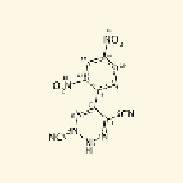 N#CC1=NNN(C#N)N=C1c1ccc([N+](=O)[O-])cc1[N+](=O)[O-]